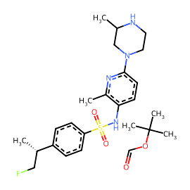 CC(C)(C)OC=O.Cc1nc(N2CCNC(C)C2)ccc1NS(=O)(=O)c1ccc([C@@H](C)CF)cc1